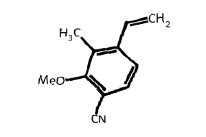 C=Cc1ccc(C#N)c(OC)c1C